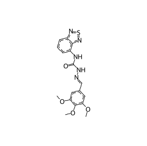 COc1cc(/C=N/NC(=O)Nc2cccc3nsnc23)cc(OC)c1OC